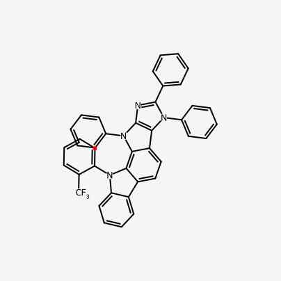 FC(F)(F)c1ccccc1-n1c2ccccc2c2ccc3c4c(nc(-c5ccccc5)n4-c4ccccc4)n(-c4ccccc4)c3c21